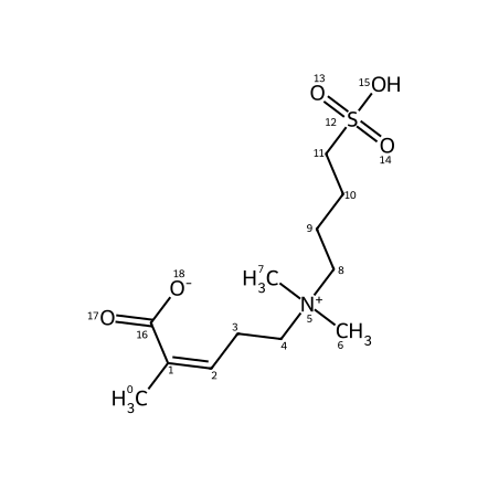 CC(=CCC[N+](C)(C)CCCCS(=O)(=O)O)C(=O)[O-]